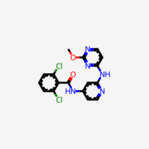 COc1nccc(Nc2cc(NC(=O)c3c(Cl)cccc3Cl)ccn2)n1